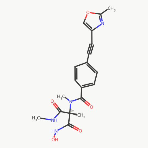 CNC(=O)[C@@](C)(C(=O)NO)N(C)C(=O)c1ccc(C#Cc2coc(C)n2)cc1